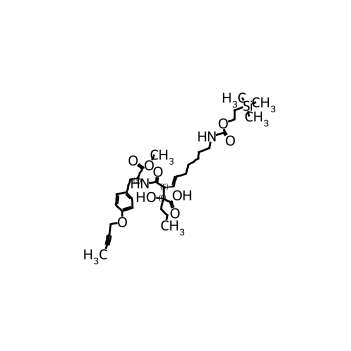 CC#CCOc1ccc(C[C@H](NC(=O)[C@@H](C=CCCCCCNC(=O)OCC[Si](C)(C)C)[C@@](O)(CCC)C(=O)O)C(=O)OC)cc1